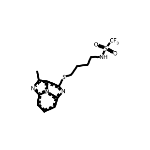 Cc1nc2cccc3nc(SCCCCNS(=O)(=O)C(F)(F)F)c1n23